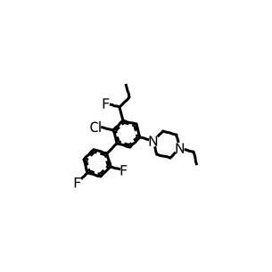 CCC(F)c1cc(N2CCN(CC)CC2)cc(-c2ccc(F)cc2F)c1Cl